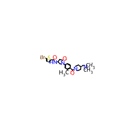 Cc1cc(N2CC(NC(=O)c3ccc(Br)s3)CC2=O)ccc1C(=O)N1CCC(CN(C)C)CC1